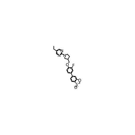 CCc1cnc(N2CCC(COc3ccc(-c4ccc5c(c4)OC[S+]5[O-])cc3F)C2)nc1